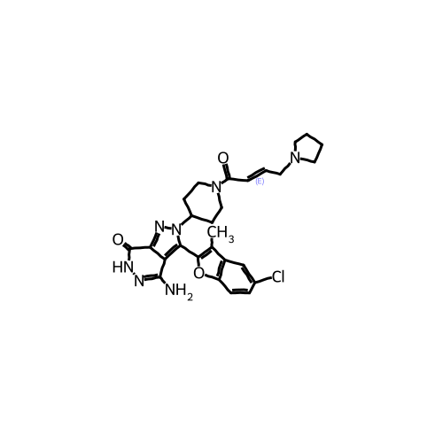 Cc1c(-c2c3c(N)n[nH]c(=O)c3nn2C2CCN(C(=O)/C=C/CN3CCCC3)CC2)oc2ccc(Cl)cc12